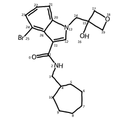 O=C(NCC1CCCCCC1)c1cn(CC2(O)COC2)c2cccc(Br)c12